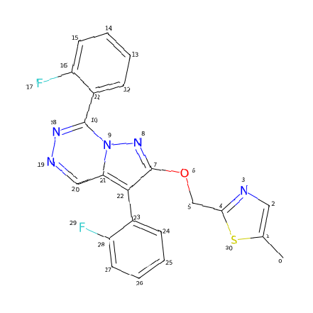 Cc1cnc(COc2nn3c(-c4ccccc4F)nncc3c2-c2ccccc2F)s1